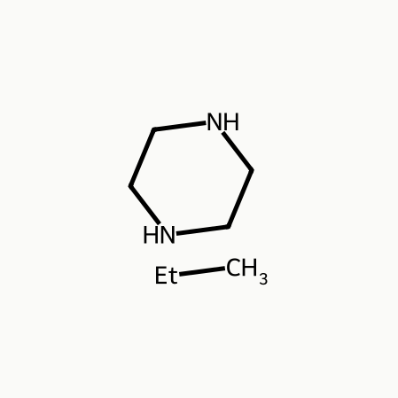 C1CNCCN1.CCC